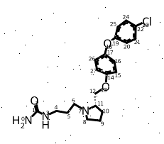 NC(=O)NCCCN1CCC[C@H]1COc1ccc(Oc2ccc(Cl)cc2)cc1